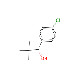 CC(C)(C)[C@@H](O)c1ccc(Cl)cc1